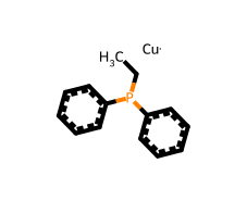 CCP(c1ccccc1)c1ccccc1.[Cu]